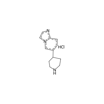 Cl.c1cn2cc(C3CCNCC3)ccc2n1